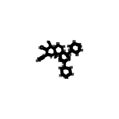 CC1C(=O)C(C#N)=CC2(C)c3nc(-c4ccncc4)nc(-c4ccncc4)c3CCC12